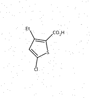 CCc1cc(Cl)sc1C(=O)O